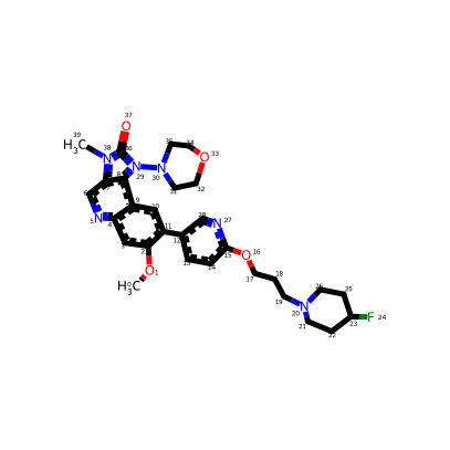 COc1cc2ncc3c(c2cc1-c1ccc(OCCCN2CCC(F)CC2)nc1)n(N1CCOCC1)c(=O)n3C